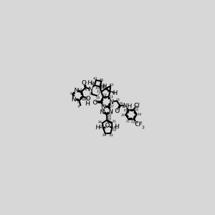 Cc1ncnc(C(=O)N2CC[C@]3(c4c(n(CC(=O)Nc5ccc(C(F)(F)F)cc5Cl)c5nc(C6=C[C@H]7CC[C@@H](C6)O7)nn5c4=O)[C@H]4C[C@H]43)[C@@H]3CC[C@@H]32)c1O